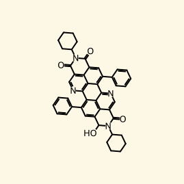 O=C1c2cnc3c4c(-c5ccccc5)cc5c6c(cnc(c7c(-c8ccccc8)cc(c2c37)C(=O)N1C1CCCCC1)c64)C(=O)N(C1CCCCC1)C5O